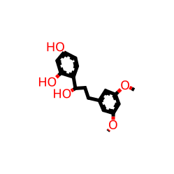 COc1cc(CCC(O)c2ccc(O)cc2O)cc(OC)c1